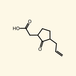 C=CCC1CCC(CC(=O)O)C1=O